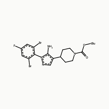 CC(C)(C)OC(=O)N1CCC(c2cnn(-c3c(Br)cc(F)cc3Br)c2N)CC1